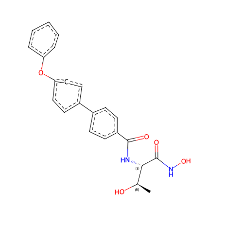 C[C@@H](O)[C@H](NC(=O)c1ccc(-c2ccc(Oc3ccccc3)cc2)cc1)C(=O)NO